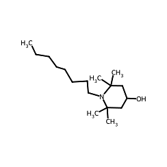 CCCCCCCCN1C(C)(C)CC(O)CC1(C)C